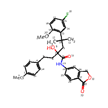 COc1ccc(CCC(O)(CC(C)(C)c2cc(F)ccc2OC)C(=O)Nc2ccc3c(c2)COC3=O)cc1